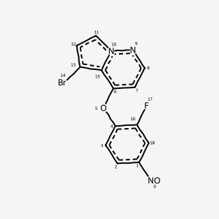 O=Nc1ccc(Oc2ccnn3ccc(Br)c23)c(F)c1